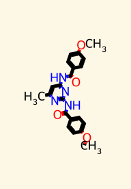 COc1ccc(C(=O)Nc2cc(C)nc(NC(=O)c3ccc(OC)cc3)n2)cc1